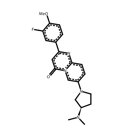 COc1ccc(-c2cc(=O)n3cc(N4CC[C@@H](N(C)C)C4)ccc3n2)cc1F